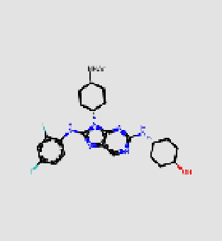 CC(=O)N[C@H]1CC[C@H](n2c(Nc3ccc(F)cc3F)nc3cnc(N[C@H]4CC[C@H](O)CC4)nc32)CC1